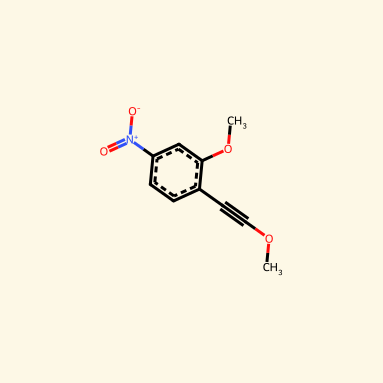 COC#Cc1ccc([N+](=O)[O-])cc1OC